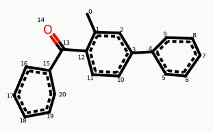 Cc1cc(-c2ccccc2)ccc1C(=O)c1ccccc1